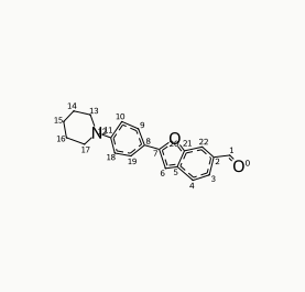 O=Cc1ccc2cc(-c3ccc(N4CCCCC4)cc3)oc2c1